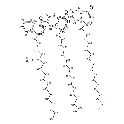 CCCCCCCCCCCCCCCCCC(=O)c1ccccc1C(=O)[O-].CCCCCCCCCCCCCCCCCC(=O)c1ccccc1C(=O)[O-].CCCCCCCCCCCCCCCCCC(=O)c1ccccc1C(=O)[O-].[Al+3]